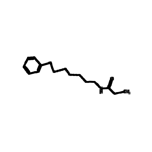 CCC(=O)NCCCCCCCc1ccccc1